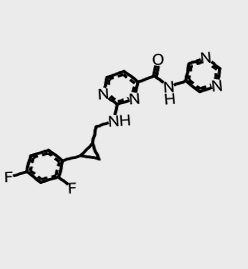 O=C(Nc1cncnc1)c1ccnc(NCC2CC2c2ccc(F)cc2F)n1